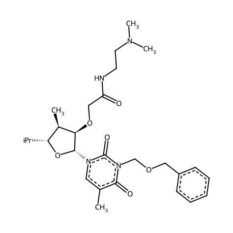 Cc1cn([C@@H]2O[C@H](C(C)C)[C@@H](C)[C@H]2OCC(=O)NCCN(C)C)c(=O)n(COCc2ccccc2)c1=O